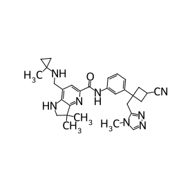 Cn1cnnc1CC1(c2cccc(NC(=O)c3cc(CNC4(C)CC4)c4c(n3)C(C)(C)CN4)c2)CC(C#N)C1